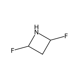 FC1CC(F)N1